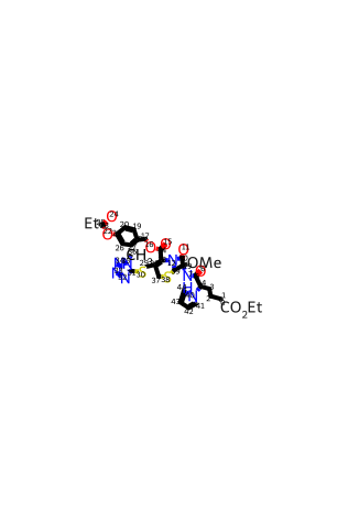 CCOC(=O)CCCC(C(=O)NC1(OC)C(=O)N2C(C(=O)OCc3ccc(OC(=O)CC)cc3)=C(CSc3nnnn3C)CSC21)n1cccc1